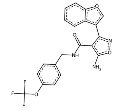 Nc1onc(-c2coc3ccccc23)c1C(=O)NCc1ccc(OC(F)(F)F)cc1